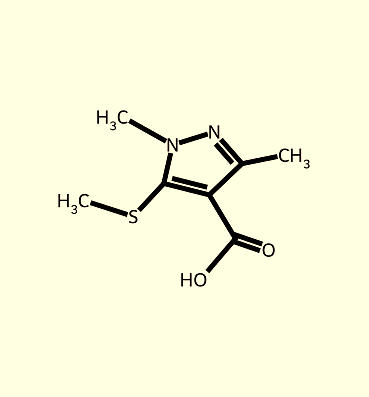 CSc1c(C(=O)O)c(C)nn1C